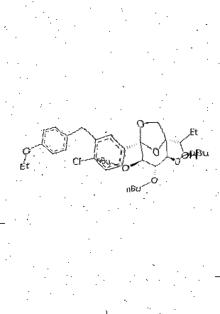 CCCCO[C@@H]1[C@@H](OCCCC)[C@@]2(c3ccc(Cl)c(Cc4ccc(OCC)cc4)c3)OC[C@](C(O)CC)(O2)[C@H]1OCCCC